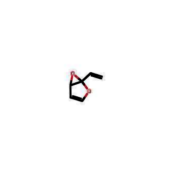 C=CC12OC=CC1O2